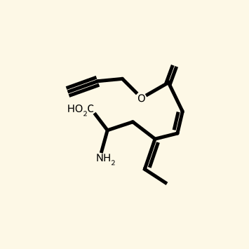 C#CCOC(=C)/C=C\C(=C/C)CC(N)C(=O)O